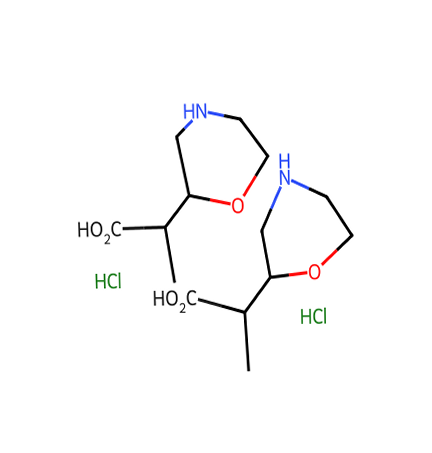 CC(C(=O)O)C1CNCCO1.CC(C(=O)O)C1CNCCO1.Cl.Cl